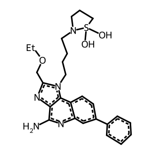 CCOCc1nc2c(N)nc3cc(-c4ccccc4)ccc3c2n1CCCCN1CCCS1(O)O